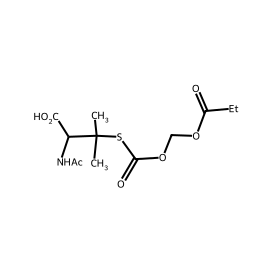 CCC(=O)OCOC(=O)SC(C)(C)C(NC(C)=O)C(=O)O